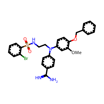 COc1cc(N(CCNS(=O)(=O)c2ccccc2Br)c2ccc(C(=N)N)cc2)ccc1OCc1ccccc1